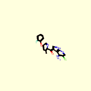 Cc1cc(Oc2ccccc2F)cnc1C(=O)c1c[nH]c2ncc(Cl)c(N)c12